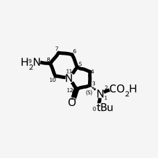 CC(C)(C)N(C(=O)O)[C@H]1CC2CCC(N)CN2C1=O